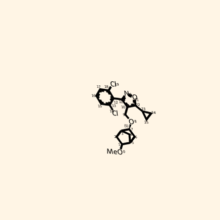 COC1CC2CC1C[C@@H]2OCc1c(-c2c(Cl)cccc2Cl)noc1C1CC1